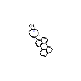 C/C1=C/CS/C(c2ccc3c4cccc5c4c(c4cccc2c43)=CCC5)=C\CS1